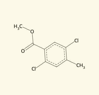 COC(=O)c1cc(Cl)c(C)cc1Cl